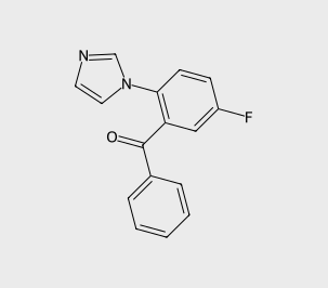 O=C(c1ccccc1)c1cc(F)ccc1-n1ccnc1